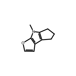 Cn1c2c(c3ccoc31)CCC2